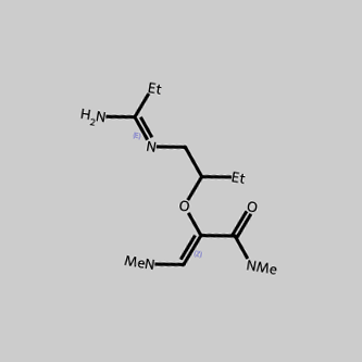 CC/C(N)=N\CC(CC)O/C(=C\NC)C(=O)NC